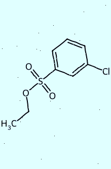 CCOS(=O)(=O)c1cccc(Cl)c1